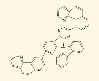 c1ccc2c(c1)-c1ccccc1C21c2cc(-c3ccc4ccc5cccnc5c4c3)ccc2-c2ccc(-c3cccc4ccc5cccnc5c34)cc21